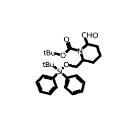 CC(C)(C)OC(=O)N1C(C=O)CCCC1CO[Si](c1ccccc1)(c1ccccc1)C(C)(C)C